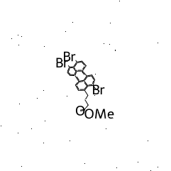 COC(=O)CCCc1ccc2c3ccc(Br)c4c(Br)ccc(c5ccc(Br)c1c52)c43